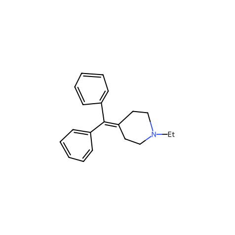 [CH2]CN1CCC(=C(c2ccccc2)c2ccccc2)CC1